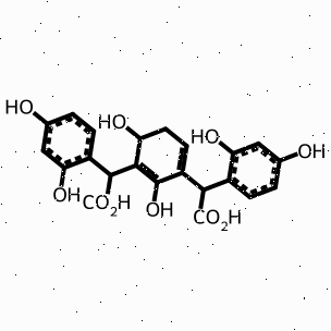 O=C(O)C(C1=CCC(O)C(C(C(=O)O)c2ccc(O)cc2O)=C1O)c1ccc(O)cc1O